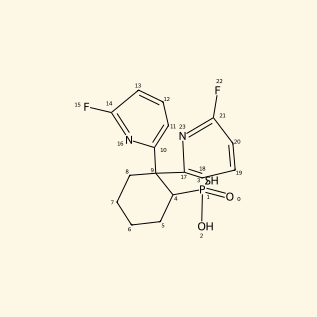 O=P(O)(S)C1CCCCC1(c1cccc(F)n1)c1cccc(F)n1